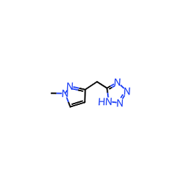 Cn1ccc(Cc2nnn[nH]2)n1